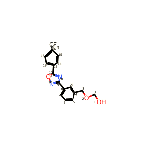 OCOCc1cccc(-c2noc(-c3ccc(C(F)(F)F)cc3)n2)c1